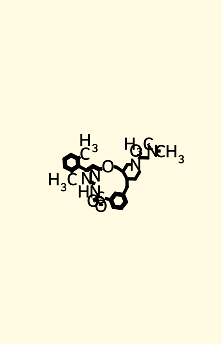 Cc1cccc(C)c1-c1cc2nc(n1)NS(=O)(=O)c1cccc(c1)CC1CCN(C(=O)CN(C)C)CC1CO2